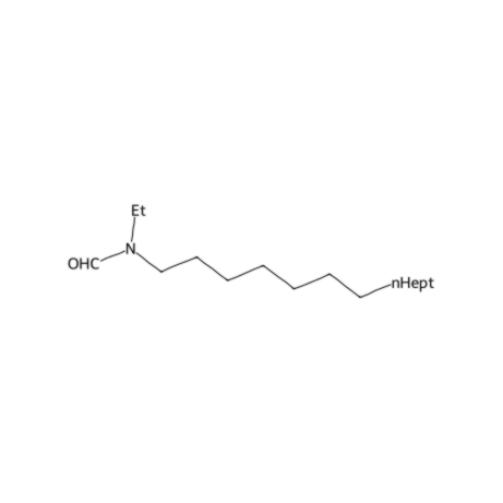 CCCCCCCCCCCCCCN(C=O)CC